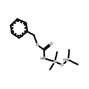 C[SiH](C)O[Si](C)(C)NC(=O)OCc1ccccc1